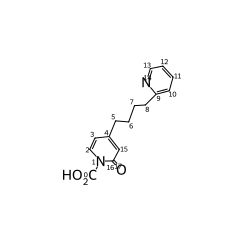 O=C(O)n1ccc(CCCCc2ccccn2)cc1=O